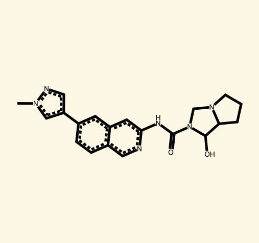 Cn1cc(-c2ccc3cnc(NC(=O)N4CN5CCCC5C4O)cc3c2)cn1